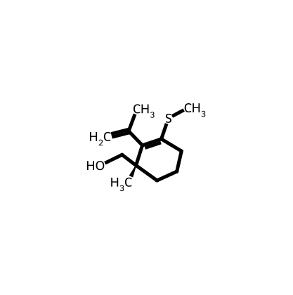 C=C(C)C1=C(SC)CCC[C@]1(C)CO